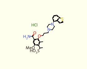 COc1cc(C(N)=O)c(OCCCN2CCN(c3cccc4sccc34)CC2)c(C)c1C(C)S(=O)(=O)O.Cl